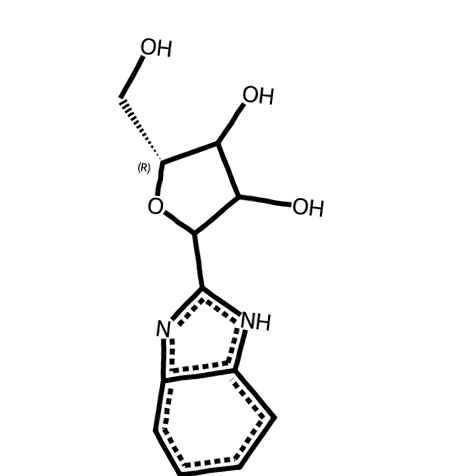 OC[C@H]1OC(c2nc3ccccc3[nH]2)C(O)C1O